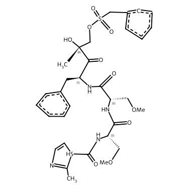 COC[C@H](NC(=O)[C@H](COC)NC(=O)[SH]1C=CN=C1C)C(=O)N[C@@H](Cc1ccccc1)C(=O)[C@](C)(O)COS(=O)(=O)Cc1ccccc1